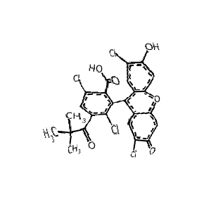 CC(C)(C)C(=O)c1cc(Cl)c(C(=O)O)c(-c2c3cc(Cl)c(=O)cc-3oc3cc(O)c(Cl)cc23)c1Cl